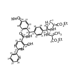 CCOC(=O)[C@H](C)NP(=O)(N[C@@H](C)C(=O)OCC)c1ccc(C(NC(=O)c2cnc(-c3ccccn3)nc2O)c2ccc(OC)cc2)cc1